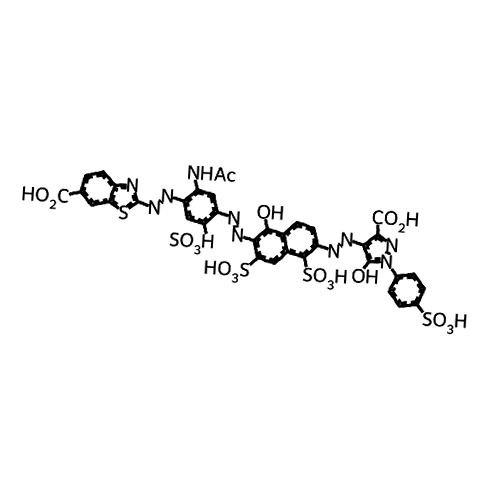 CC(=O)Nc1cc(N=Nc2c(S(=O)(=O)O)cc3c(S(=O)(=O)O)c(N=Nc4c(C(=O)O)nn(-c5ccc(S(=O)(=O)O)cc5)c4O)ccc3c2O)c(S(=O)(=O)O)cc1N=Nc1nc2ccc(C(=O)O)cc2s1